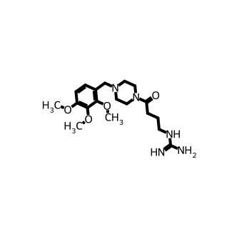 COc1ccc(CN2CCN(C(=O)CCCNC(=N)N)CC2)c(OC)c1OC